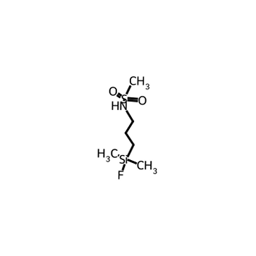 C[Si](C)(F)CCCNS(C)(=O)=O